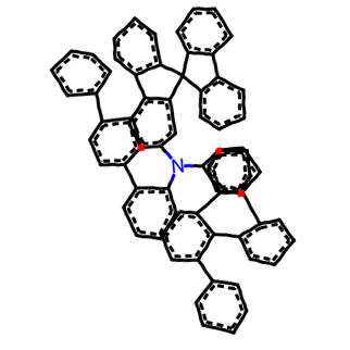 c1ccc(-c2ccc(-c3ccccc3N(c3ccc4c(c3)C3(c5ccccc5-c5ccccc53)c3ccccc3-4)c3ccccc3-c3cccc(-c4ccccc4)c3-c3ccccc3-c3ccccc3)cc2)cc1